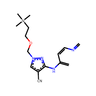 C=N/C=C\C(=C)Nc1nn(COCC[Si](C)(C)C)cc1C#N